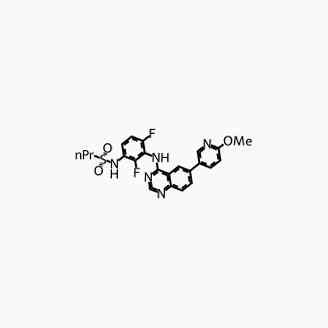 CCCS(=O)(=O)Nc1ccc(F)c(Nc2ncnc3ccc(-c4ccc(OC)nc4)cc23)c1F